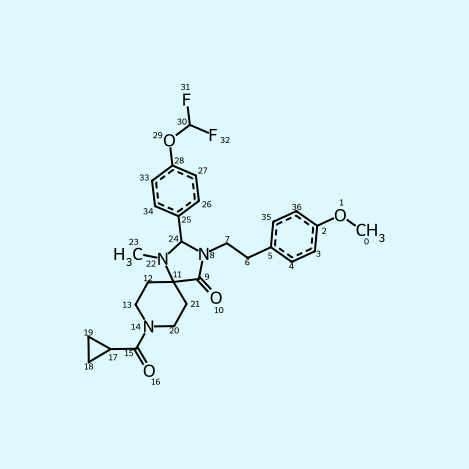 COc1ccc(CCN2C(=O)C3(CCN(C(=O)C4CC4)CC3)N(C)C2c2ccc(OC(F)F)cc2)cc1